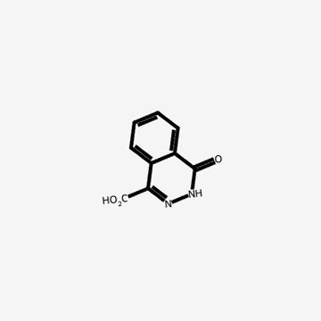 O=C(O)c1n[nH]c(=O)c2ccccc12